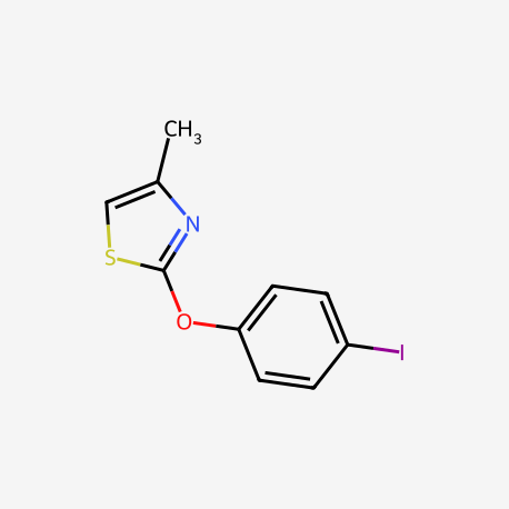 Cc1csc(Oc2ccc(I)cc2)n1